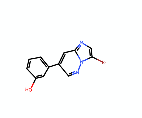 Oc1cccc(-c2cnn3c(Br)cnc3c2)c1